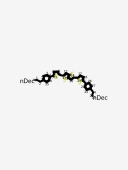 CCCCCCCCCCCCc1ccc(-c2ccc(-c3cc4sc(-c5ccc(-c6ccc(CCCCCCCCCCCC)cc6)s5)cc4s3)s2)cc1